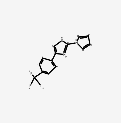 FC(F)(F)c1ccc(-c2csc(-n3cccc3)n2)cc1